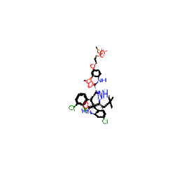 COc1cc(OCC[S+](C)[O-])ccc1NC(=O)[C@@H]1N[C@@H](CC(C)(C)C)C2(C(=O)Nc3cc(Cl)ccc32)[C@@H]1c1cccc(Cl)c1F